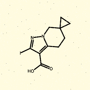 O=C(O)c1c(I)nn2c1CCC1(CC1)C2